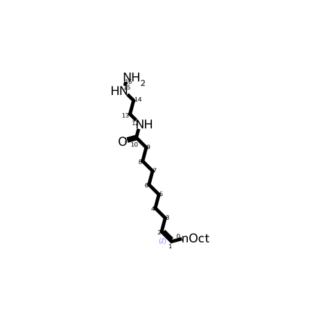 CCCCCCCC/C=C\CCCCCCCC(=O)NCCNN